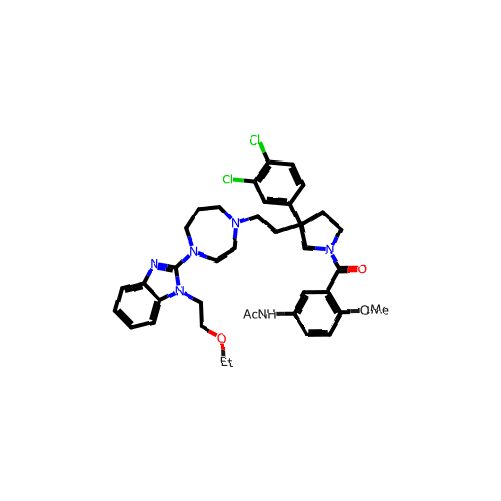 CCOCCn1c(N2CCCN(CCC3(c4ccc(Cl)c(Cl)c4)CCN(C(=O)c4cc(NC(C)=O)ccc4OC)C3)CC2)nc2ccccc21